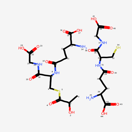 CC(O)C(=O)SCC(NC(=O)CCC(N)C(=O)O)C(=O)NCC(=O)O.NC(CCC(=O)NC(CS)C(=O)NCC(=O)O)C(=O)O